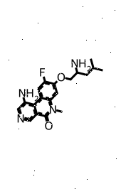 CC(C)CC(N)COc1cc2c(cc1F)c1c(N)cncc1c(=O)n2C